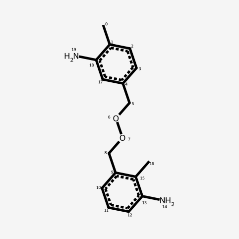 Cc1ccc(COOCc2cccc(N)c2C)cc1N